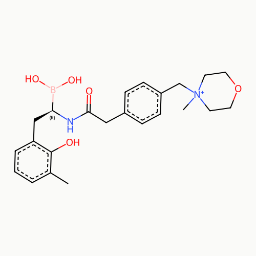 Cc1cccc(C[C@H](NC(=O)Cc2ccc(C[N+]3(C)CCOCC3)cc2)B(O)O)c1O